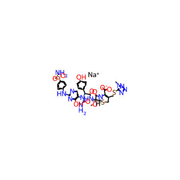 CO[C@]1(NC(=O)C(c2ccc(O)cc2)N(C(N)=O)c2cnc(Nc3ccc(S(N)(=O)=O)cc3)nc2O)C(=O)N2C(C(=O)[O-])=C(CSc3nnnn3C)CS[C@H]21.[Na+]